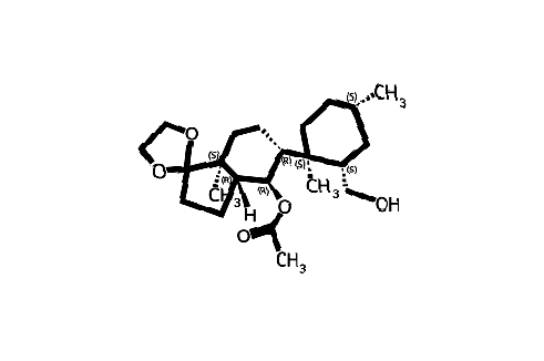 CC(=O)O[C@@H]1[C@@H]([C@@]2(C)CC[C@H](C)C[C@@H]2CO)CC[C@@]2(C)[C@H]1CCC21OCCO1